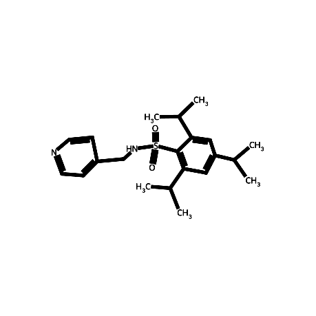 CC(C)c1cc(C(C)C)c(S(=O)(=O)NCc2ccncc2)c(C(C)C)c1